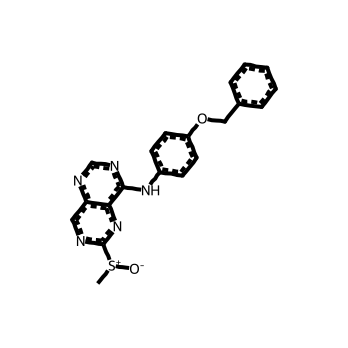 C[S+]([O-])c1ncc2ncnc(Nc3ccc(OCc4ccccc4)cc3)c2n1